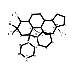 CC1C2CCC3C4CCC[C@@]4(C)CCC3[C@@]2(C)C(N2CCCCC2)(N2CCNCC2)CC1(O)O